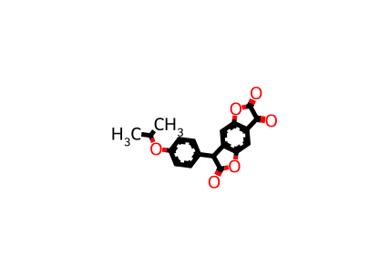 CC(C)Oc1ccc(C2C(=O)Oc3cc4c(cc32)OC(=O)C4=O)cc1